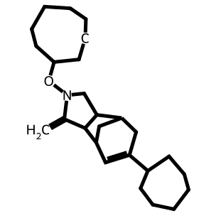 C=C1C2C3C=C(C4CCCCCC4)CC(C3)C2CN1OC1CCCCCCC1